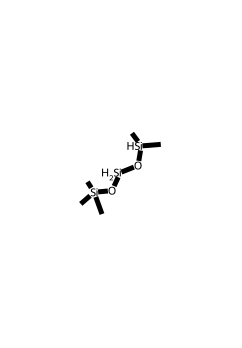 C[SiH](C)O[SiH2]O[Si](C)(C)C